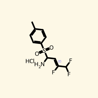 Cc1ccc(S(=O)(=O)C(N)/C=C(\F)C(F)F)cc1.Cl